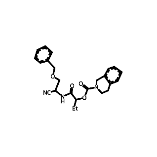 CCC(OC(=O)N1CCc2ccccc2C1)C(=O)NC(C#N)COCc1ccccc1